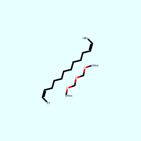 CC/C=C\CCCCCCCC/C=C\CCCC.CCCCCCOCOCOCCCCCC